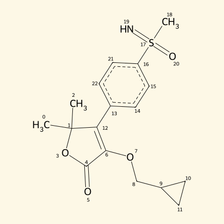 CC1(C)OC(=O)C(OCC2CC2)=C1c1ccc(S(C)(=N)=O)cc1